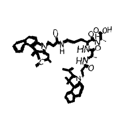 C=C=C(C)/C=C1/N(CCC(=O)NCCCC(NC(=O)[C@H](C)NC(=O)CC[N+]2=C(C(C)C)C(C)(C)c3c2ccc2ccccc32)C(=O)N[C@@H](C)C(=O)O)c2ccc3ccccc3c2C1(C)C